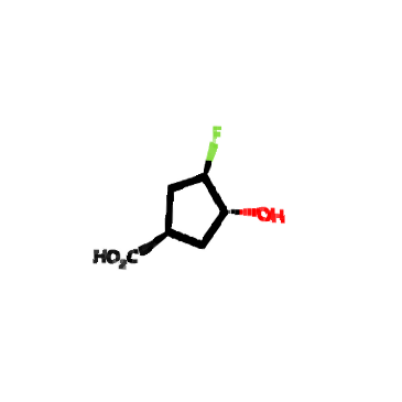 O=C(O)[C@@H]1C[C@@H](O)[C@H](F)C1